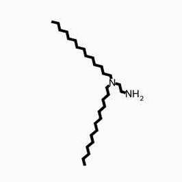 CCCCCCCCCCCCCCN(CCN)CCCCCCCCCCCCCC